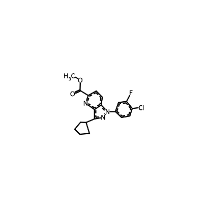 COC(=O)c1ccc2c(n1)c(C1CCCC1)nn2-c1ccc(Cl)c(F)c1